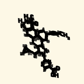 CC#Cc1cccc(-c2nn(-c3nc(C(=O)O)cs3)c(CC3CC3)c2Cc2ccc([SH](C)(N)=O)c(F)c2)c1